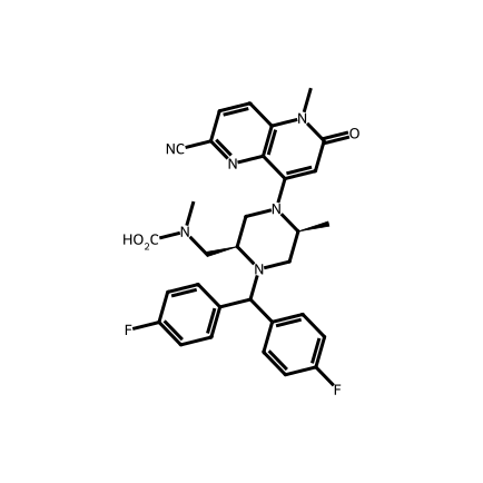 C[C@H]1CN(C(c2ccc(F)cc2)c2ccc(F)cc2)[C@@H](CN(C)C(=O)O)CN1c1cc(=O)n(C)c2ccc(C#N)nc12